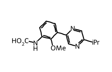 COc1c(NC(=O)O)cccc1-c1cnc(C(C)C)cn1